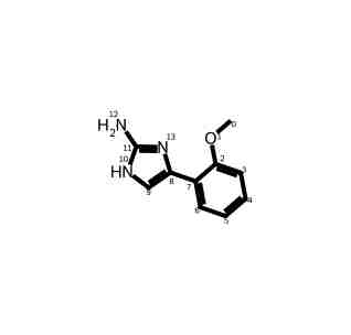 COc1ccccc1-c1c[nH]c(N)n1